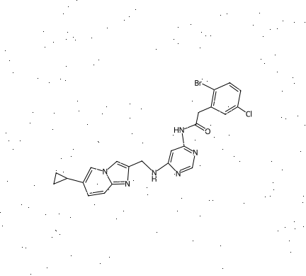 O=C(Cc1cc(Cl)ccc1Br)Nc1cc(NCc2cn3cc(C4CC4)ccc3n2)ncn1